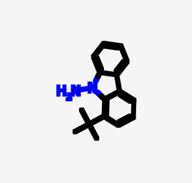 CC(C)(C)c1cccc2c3ccccc3n(N)c12